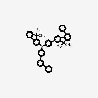 CC1(C)c2ccccc2-c2ccc(N(c3ccc(-c4cccc(-c5ccccc5)c4)cc3)c3ccc(-c4ccc5c(c4)C(C)(C)c4cccc(-c6ccccc6)c4-5)cc3)cc21